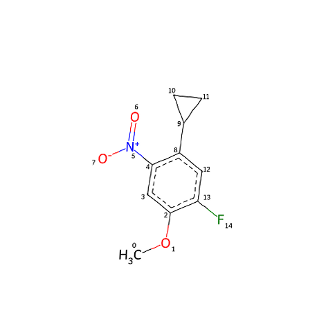 COc1cc([N+](=O)[O-])c(C2CC2)cc1F